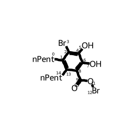 CCCCCc1c(Br)c(O)c(O)c(C(=O)OBr)c1CCCCC